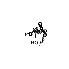 O=C(O)CCSCc1cccc(C(=O)Nc2ccc(N3CCCCC3)cc2-c2nccc(C(=O)NCc3cccc(CF)c3)c2F)c1